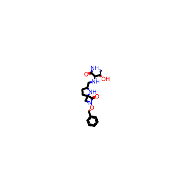 C[C@@H](O)[C@H](NCC1CCC2(CN(OCc3ccccc3)C2=O)N1)C(N)=O